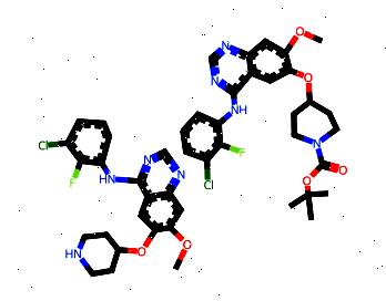 COc1cc2ncnc(Nc3cccc(Cl)c3F)c2cc1OC1CCN(C(=O)OC(C)(C)C)CC1.COc1cc2ncnc(Nc3cccc(Cl)c3F)c2cc1OC1CCNCC1